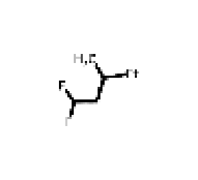 CCC(C)CC(F)F